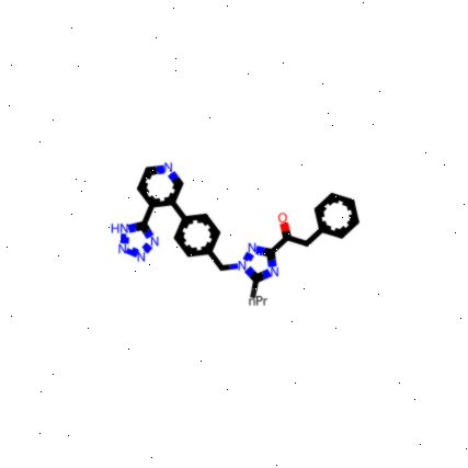 CCCc1nc(C(=O)Cc2ccccc2)nn1Cc1ccc(-c2cnccc2-c2nnn[nH]2)cc1